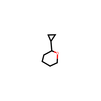 C1CCC(C2CC2)OC1